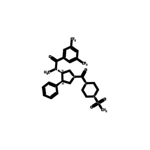 CN(C(=O)c1cc(C(F)(F)F)cc(C(F)(F)F)c1)[C@@H]1CN(C(=O)N2CCN(S(C)(=O)=O)CC2)C[C@H]1c1ccccc1